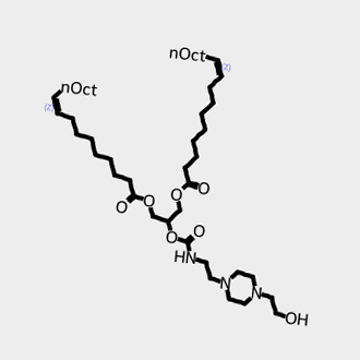 CCCCCCCC/C=C\CCCCCCCC(=O)OCC(COC(=O)CCCCCCC/C=C\CCCCCCCC)OC(=O)NCCN1CCN(CCO)CC1